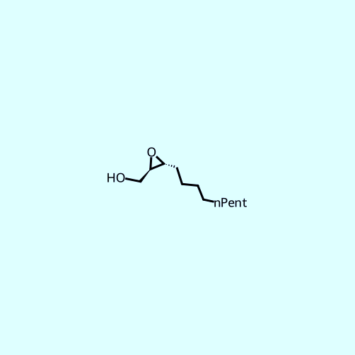 CCCCCCCCC[C@H]1O[C@@H]1CO